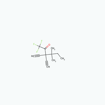 C#CC(C#C)(C(=O)C(F)(F)F)C(C)(C)CC